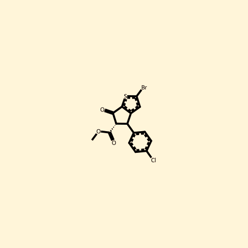 COC(=O)[C@@H]1C(=O)c2sc(Br)cc2C1c1ccc(Cl)cc1